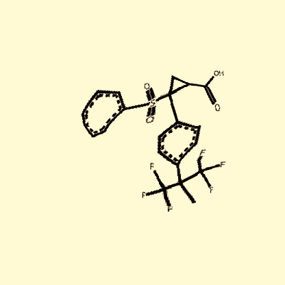 CC(c1ccc(C2(S(=O)(=O)c3ccccc3)CC2C(=O)O)cc1)(C(F)(F)F)C(F)(F)F